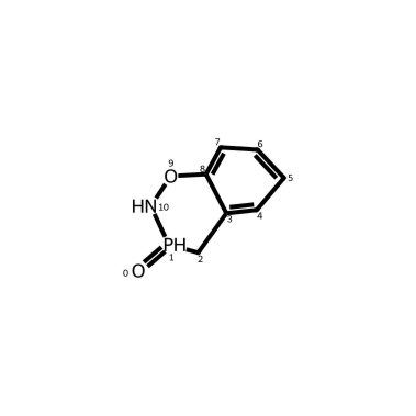 O=[PH]1Cc2ccccc2ON1